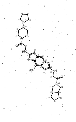 Cc1c2nc(NCC(=O)N3CCN(C4CCCC4)CC3)sc2cc2sc(NCC(=O)N3CC4CCCC4C3)nc12